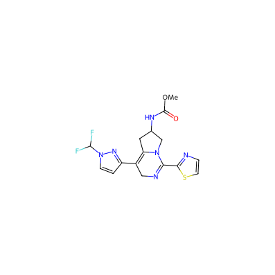 COC(=O)NC1CC2=C(c3ccn(C(F)F)n3)CN=C(c3nccs3)N2C1